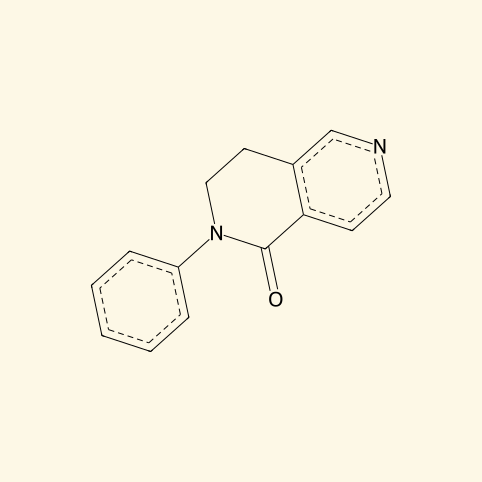 O=C1c2ccncc2CCN1c1ccccc1